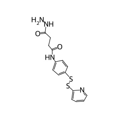 NNC(=O)CCC(=O)Nc1ccc(SSc2ccccn2)cc1